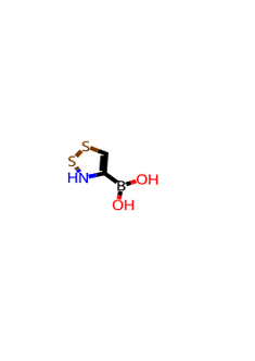 OB(O)C1=CSSN1